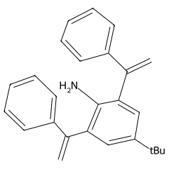 C=C(c1ccccc1)c1cc(C(C)(C)C)cc(C(=C)c2ccccc2)c1N